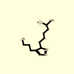 CC(C)CCCC1=CN=NC1CCCCC(C)C(C)C